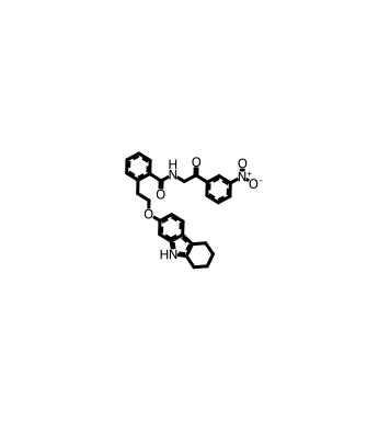 O=C(CNC(=O)c1ccccc1CCOc1ccc2c3c([nH]c2c1)CCCC3)c1cccc([N+](=O)[O-])c1